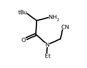 CCN(CC#N)C(=O)C(N)C(C)(C)C